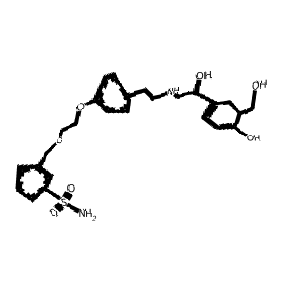 NS(=O)(=O)c1cccc(COCCOc2ccc(CCNCC(O)C3=CC=C(O)C(CO)C3)cc2)c1